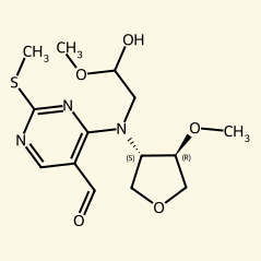 COC(O)CN(c1nc(SC)ncc1C=O)[C@H]1COC[C@@H]1OC